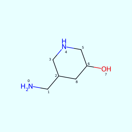 NCC1CNCC(O)C1